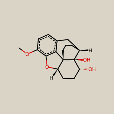 COc1ccc2c3c1O[C@H]1CC[C@@H](O)[C@@]4(O)[C@H](CCC[C@]314)C2